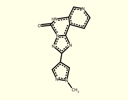 Cn1cc(-c2nc3c4ccncc4[nH]c(=O)n3n2)cn1